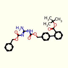 CC(C)(C)OC(=O)c1ccccc1-c1ccc(COC(=O)NC(N)=NC(=O)OCc2ccccc2)cc1